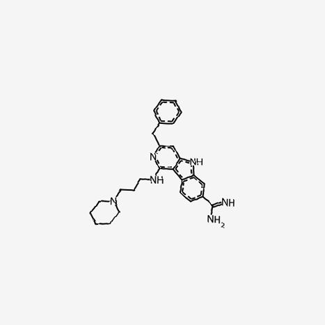 N=C(N)c1ccc2c(c1)[nH]c1cc(Cc3ccccc3)nc(NCCCN3CCCCC3)c12